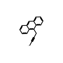 [CH2]C#CCc1c2ccccc2cc2ccccc12